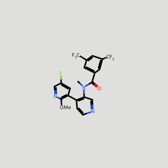 COc1ncc(F)cc1-c1ccncc1N(C)C(=O)c1cc(C(F)(F)F)cc(C(F)(F)F)c1